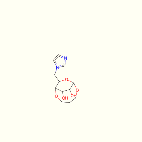 OC1C2OCCCOC(C(Cn3ccnc3)O2)C1O